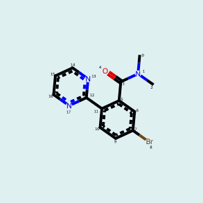 CN(C)C(=O)c1cc(Br)ccc1-c1ncccn1